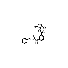 O=C(Nc1cccc(C(=O)ON2C(=O)CCC2=O)c1)OCc1ccccc1